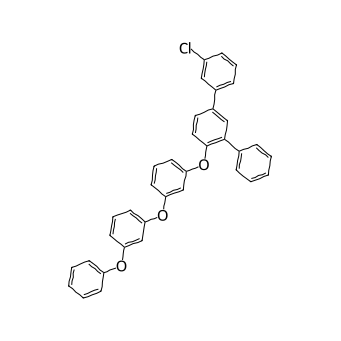 Clc1cccc(-c2ccc(Oc3cccc(Oc4cccc(Oc5ccccc5)c4)c3)c(-c3ccccc3)c2)c1